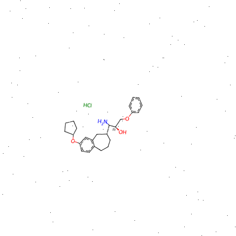 Cl.NC(C1CCCc2ccc(OC3CCCC3)cc2C1)[C@H](O)COc1ccccc1